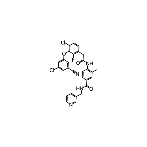 Cc1cc(C(=O)NCc2cccnc2)ccc1NC(=O)Cc1ccc(Cl)c(Oc2cc(Cl)cc(C#N)c2)c1F